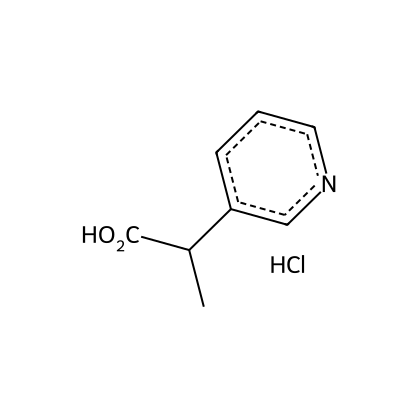 CC(C(=O)O)c1cccnc1.Cl